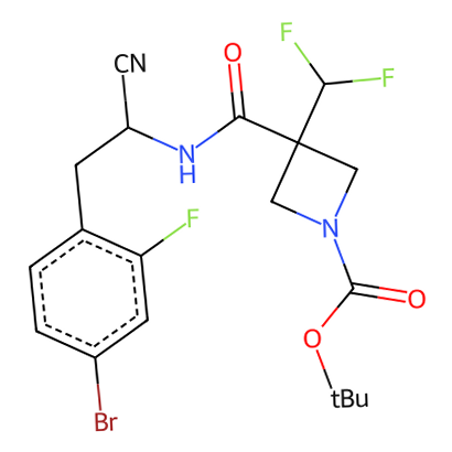 CC(C)(C)OC(=O)N1CC(C(=O)NC(C#N)Cc2ccc(Br)cc2F)(C(F)F)C1